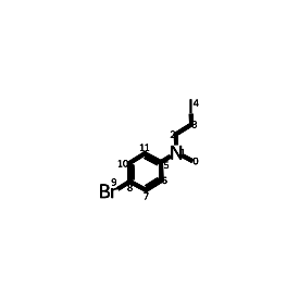 CN(CCI)c1ccc(Br)cc1